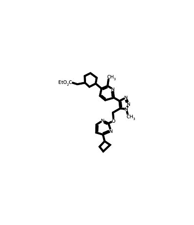 CCOC(=O)CC1CCCC(c2ccc(-c3nnn(C)c3COc3nccc(C4CCC4)n3)nc2C)C1